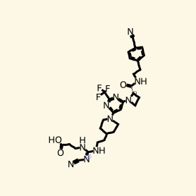 N#C/N=C(\NCCC(=O)O)NCCC1CCN(c2cc(N3CC[C@H]3C(=O)NCCc3ccc(C#N)cc3)nc(C(F)(F)F)n2)CC1